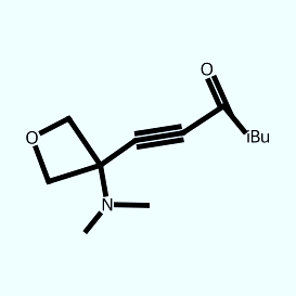 CCC(C)C(=O)C#CC1(N(C)C)COC1